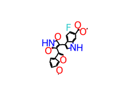 COC(=O)c1cc2[nH]cc(C3=C(c4coc5c(OC)cccc45)C(=O)NC3=O)c2cc1F